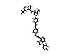 Cn1c(=O)n(C2CCC(=O)NC2=O)c2cccc(C#CCN3CCN(C#CC4CCC(n5cc(NC(=O)c6cnn7ccc(C(C)(C)C)nc67)c(C(F)F)n5)CC4)CC3)c21